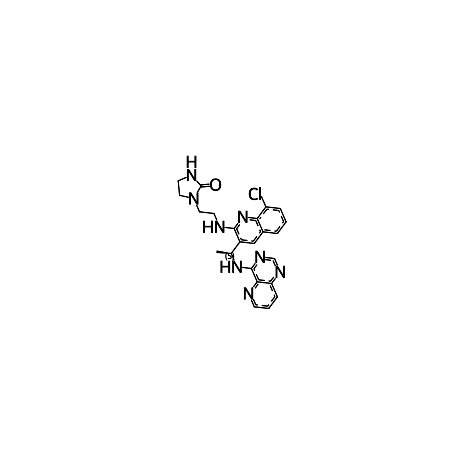 C[C@H](Nc1ncnc2cccnc12)c1cc2cccc(Cl)c2nc1NCCN1CCNC1=O